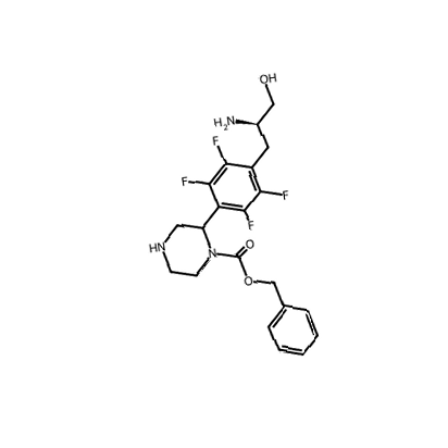 N[C@@H](CO)Cc1c(F)c(F)c(C2CNCCN2C(=O)OCc2ccccc2)c(F)c1F